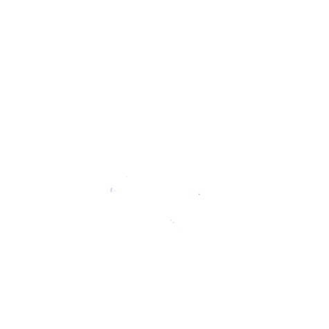 CC(=N)c1ccc(O)c(N)c1